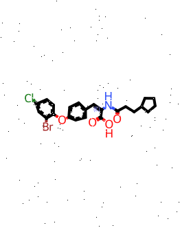 O=C(CCC1CCCC1)N/C(=C/c1ccc(Oc2ccc(Cl)cc2Br)cc1)C(=O)O